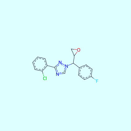 Fc1ccc(C(C2CO2)n2cnc(-c3ccccc3Cl)n2)cc1